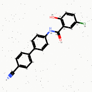 N#Cc1ccc(-c2ccc(NC(=O)c3cc(Cl)ccc3O)cc2)cc1